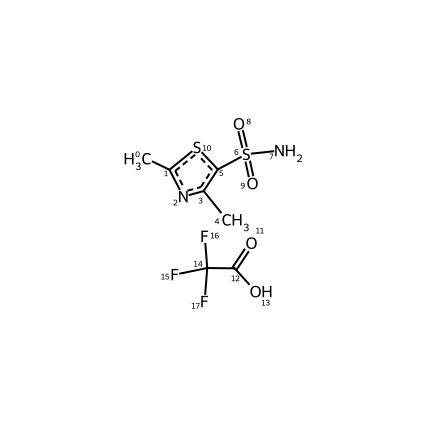 Cc1nc(C)c(S(N)(=O)=O)s1.O=C(O)C(F)(F)F